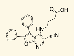 N#Cc1cnc2oc(-c3ccccc3)c(-c3ccccc3)c2c1NCCCC(=O)O